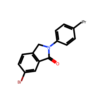 CC(C)c1ccc(N2Cc3ccc(Br)cc3C2=O)cc1